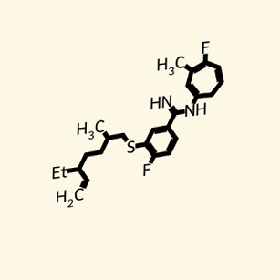 C=CC(CC)CCC(C)CSc1cc(C(=N)NC2=CC(C)=C(F)C=CC2)ccc1F